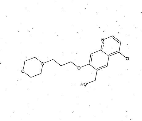 OCc1cc2c(Cl)ccnc2cc1OCCCN1CCOCC1